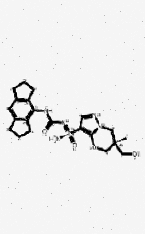 C[C@@]1(CO)COc2c([S@](N)(=O)=NC(=O)Nc3c4c(cc5c3CCC5)CCC4)cnn2C1